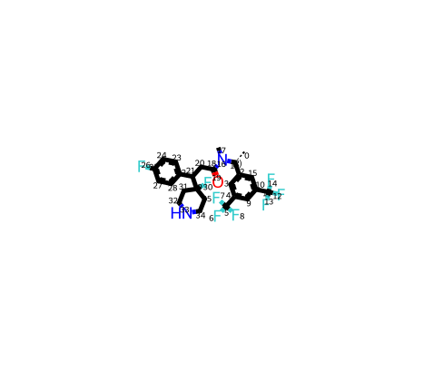 C[C@H](c1cc(C(F)(F)F)cc(C(F)(F)F)c1)N(C)C(=O)CC(c1ccc(F)cc1)C1(F)CCNCC1